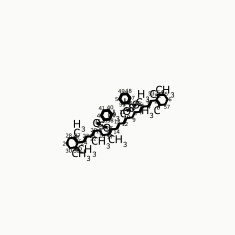 CC1=C(/C=C/C(C)=C/C(C/C(C)=C/C=C/C=C(\C)CC(/C=C(C)/C=C/C2=C(C)CCCC2(C)C)S(=O)(=O)c2ccccc2)S(=O)(=O)c2ccccc2)C(C)(C)CCC1